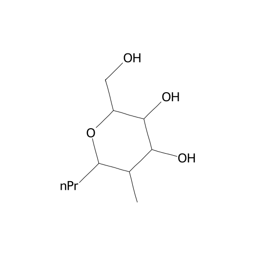 CCCC1OC(CO)C(O)C(O)C1C